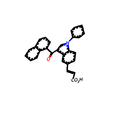 O=C(O)/C=C/c1ccc2c(c1)c(C(=O)c1cccc3ccccc13)cn2-c1ccccc1